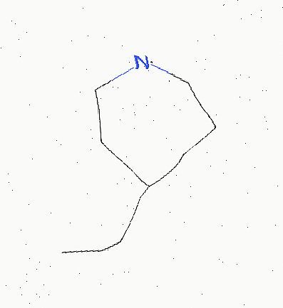 CCC1CCC[N]CC1